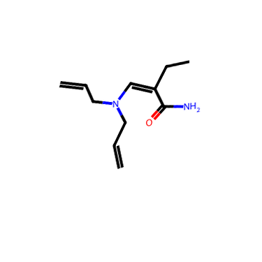 C=CCN(C=C(CC)C(N)=O)CC=C